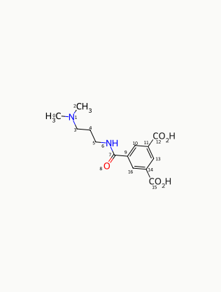 CN(C)CCCNC(=O)c1cc(C(=O)O)cc(C(=O)O)c1